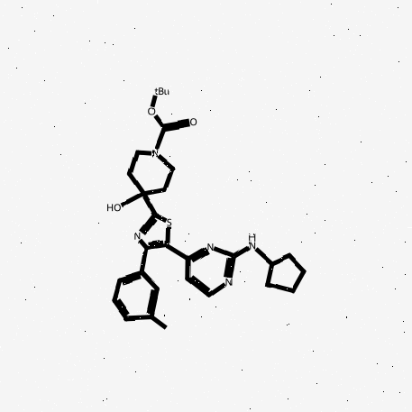 Cc1cccc(-c2nc(C3(O)CCN(C(=O)OC(C)(C)C)CC3)sc2-c2ccnc(NC3CCCC3)n2)c1